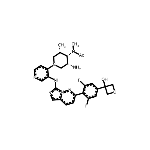 CC(=O)N(C)[C@@H]1[C@H](N)CN(c2ccncc2Nc2ncc3ccc(-c4c(F)cc(C5(O)COC5)cc4F)nn23)C[C@@H]1C